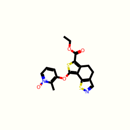 CCOC(=O)c1sc(Oc2ccc[n+]([O-])c2C)c2c1CCc1cnsc1-2